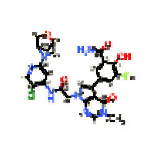 Cn1cnc2c(c(-c3cc(F)c(O)c(C(N)=O)c3)cn2CC(=O)Nc2cc(N3CC4CC3CO4)ncc2Cl)c1=O